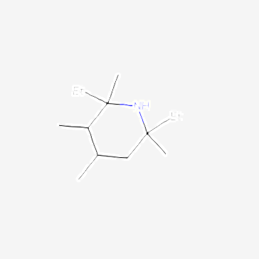 CCC1(C)CC(C)C(C)C(C)(CC)N1